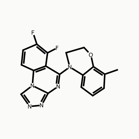 Cc1cccc2c1OCCN2c1nc2nncn2c2ccc(F)c(F)c12